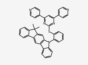 CC1(C)c2ccccc2-c2cc3c4ccccc4n(-c4ccccc4Sc4nc(-c5ccncc5)cc(-c5ccncc5)n4)c3cc21